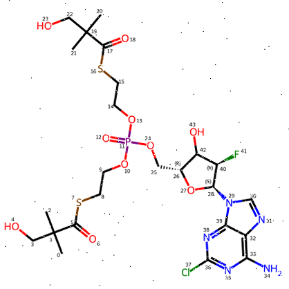 CC(C)(CO)C(=O)SCCOP(=O)(OCCSC(=O)C(C)(C)CO)OC[C@H]1O[C@H](n2cnc3c(N)nc(Cl)nc32)[C@H](F)C1O